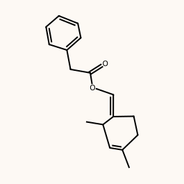 CC1=CC(C)/C(=C\OC(=O)Cc2ccccc2)CC1